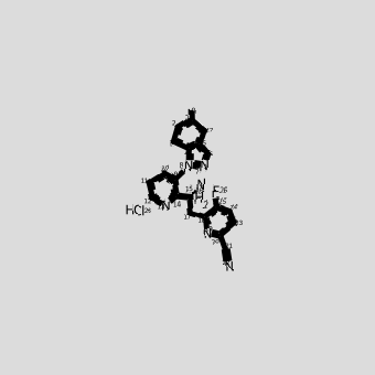 Cc1ccc2c(cnn2-c2cccnc2[C@@H](N)Cc2nc(C#N)ccc2F)c1.Cl